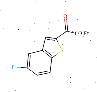 CCOC(=O)C(=O)c1cc2cc(F)ccc2s1